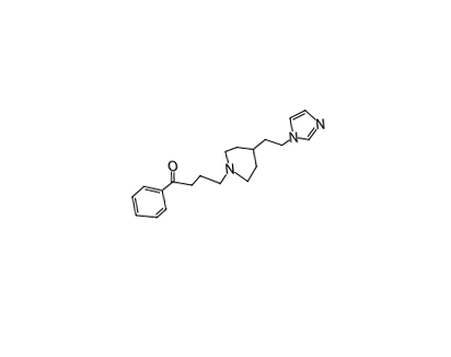 O=C(CCCN1CCC(CCn2ccnc2)CC1)c1ccccc1